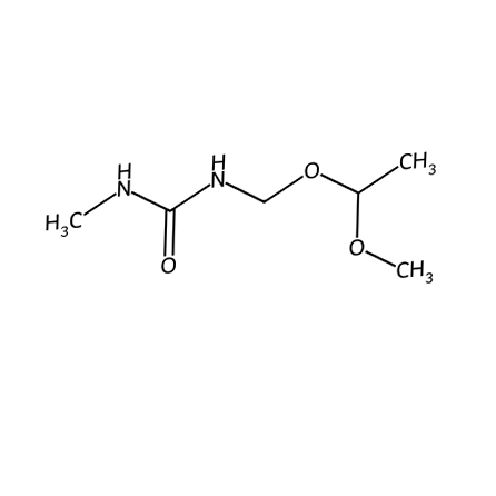 CNC(=O)NCOC(C)OC